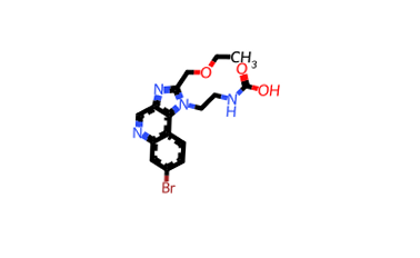 CCOCc1nc2cnc3cc(Br)ccc3c2n1CCNC(=O)O